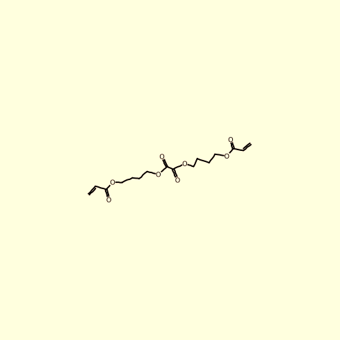 C=CC(=O)OCCCCOC(=O)C(=O)OCCCCOC(=O)C=C